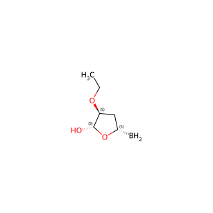 B[C@H]1C[C@H](OCC)[C@@H](O)O1